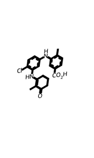 CC1=C(Nc2cc(Nc3cc(C(=O)O)ccc3C)ccc2Cl)CCCC1=O